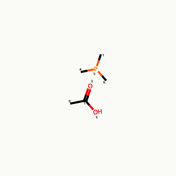 CC(=O)O.CP(C)C